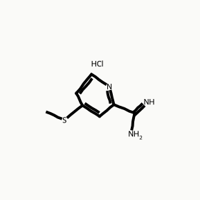 CSc1ccnc(C(=N)N)c1.Cl